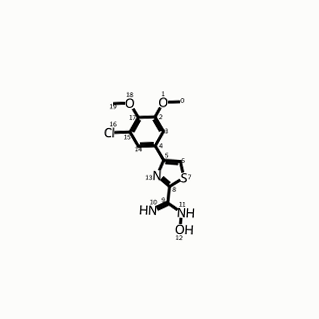 COc1cc(-c2csc(C(=N)NO)n2)cc(Cl)c1OC